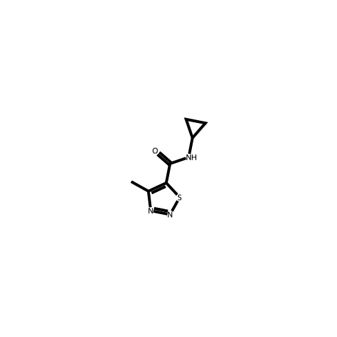 Cc1nnsc1C(=O)NC1CC1